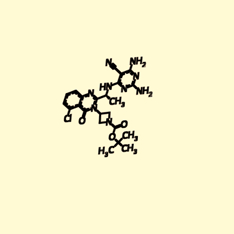 C[C@H](Nc1nc(N)nc(N)c1C#N)c1nc2cccc(Cl)c2c(=O)n1C1CN(C(=O)OC(C)(C)C)C1